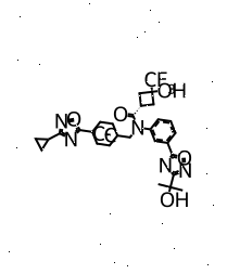 CC(C)(O)c1noc(-c2cccc(N(CC34CCC(c5nc(C6CC6)no5)(CC3)CC4)C(=O)[C@H]3C[C@](O)(C(F)(F)F)C3)c2)n1